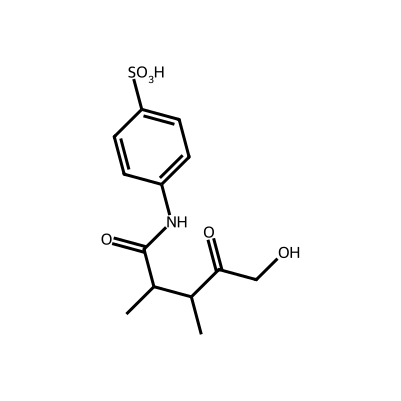 CC(C(=O)CO)C(C)C(=O)Nc1ccc(S(=O)(=O)O)cc1